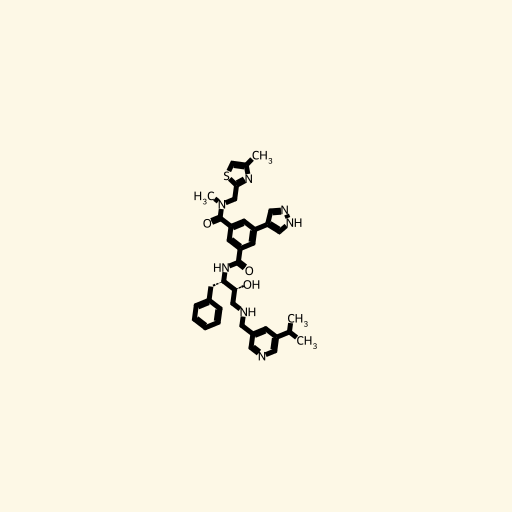 Cc1csc(CN(C)C(=O)c2cc(C(=O)N[C@@H](Cc3ccccc3)[C@H](O)CNCc3cncc(C(C)C)c3)cc(-c3cn[nH]c3)c2)n1